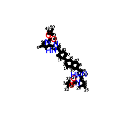 CC1=CC(c2ncc(-c3ccc(-c4ccc5cc(-c6cnc(C7C=C(C)CN7C(=O)OC(C)(C)C)[nH]6)ccc5c4)cc3)[nH]2)N(C(=O)OC(C)(C)C)C1